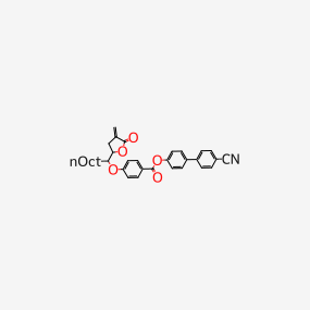 C=C1CC(C(CCCCCCCC)Oc2ccc(C(=O)Oc3ccc(-c4ccc(C#N)cc4)cc3)cc2)OC1=O